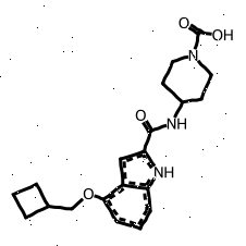 O=C(NC1CCN(C(=O)O)CC1)c1cc2c(OCC3CCC3)cccc2[nH]1